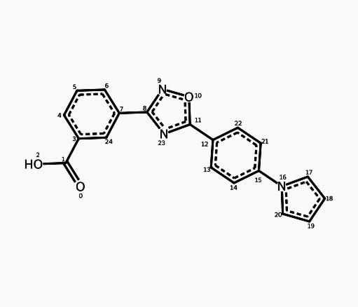 O=C(O)c1cccc(-c2noc(-c3ccc(-n4cccc4)cc3)n2)c1